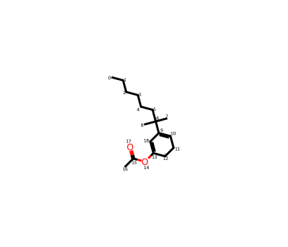 CCCCCCC(C)(C)C1=CC[CH]C(OC(C)=O)=C1